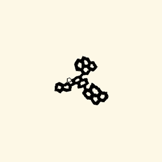 c1ccc2c(c1)ccc1c2oc2cc(-c3cc4cccc5ccc6cccc3c6c54)c3ccc(-c4ccc5ccc6cccc7ccc4c5c67)cc3c21